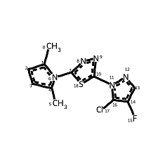 Cc1ccc(C)n1-c1nnc(-n2ncc(F)c2Cl)s1